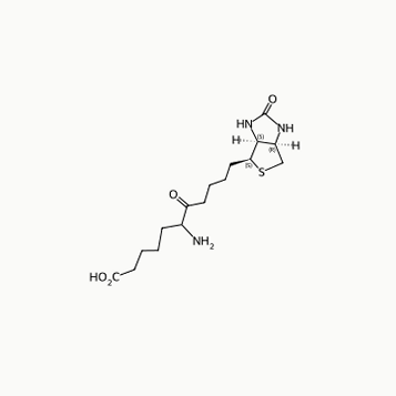 NC(CCCCC(=O)O)C(=O)CCCC[C@@H]1SC[C@@H]2NC(=O)N[C@@H]21